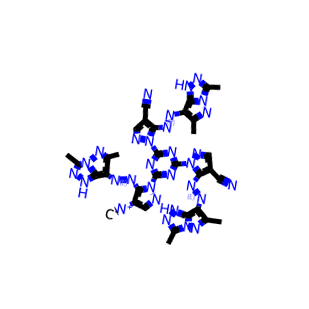 [C-]#[N+]c1cnn(-c2nc(-n3ncc(C#N)c3/N=N/c3c(C)nn4c(C)n[nH]c34)nc(-n3ncc(C#N)c3/N=N/c3c(C)nn4c(C)n[nH]c34)n2)c1/N=N/c1c(C)nn2c(C)n[nH]c12